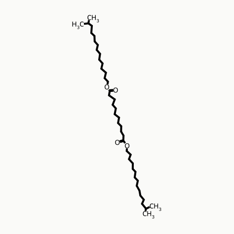 CC(C)CCCCCCCCCCCCCOC(=O)CCCCCCCCCCC(=O)OCCCCCCCCCCCCCC(C)C